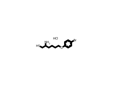 Cl.NC(CS)CCCCOc1ccc(Br)cc1